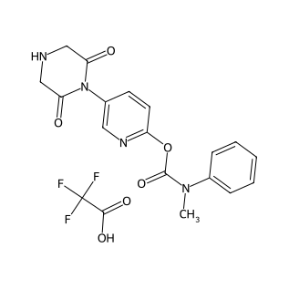 CN(C(=O)Oc1ccc(N2C(=O)CNCC2=O)cn1)c1ccccc1.O=C(O)C(F)(F)F